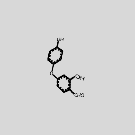 O=Cc1ccc(Oc2ccc(O)cc2)cc1O